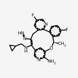 C[C@H]1Oc2cc(cnc2N)/C(NCC2CC2)=C(/N=N)Cc2cc(F)cnc2-c2ccc(F)cc21